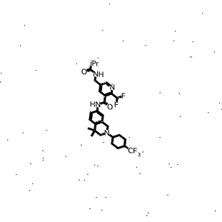 CC(C)C(=O)NCc1cnc(C(F)F)c(C(=O)Nc2ccc3c(c2)CN(C2CCC(C(F)(F)F)CC2)CC3(C)C)c1